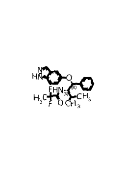 CC(C)[C@H](NC(=O)C(C)(F)F)[C@H](Oc1ccc2[nH]ncc2c1)c1ccccc1